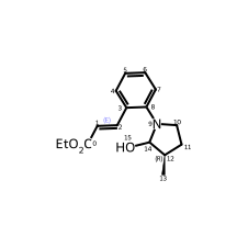 CCOC(=O)/C=C/c1ccccc1N1CC[C@@H](C)C1O